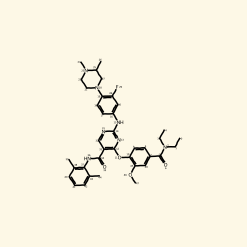 CCN(CC)C(=O)c1ccc(Oc2nc(Nc3ccc(N4CCN(C)C(C)C4)c(F)c3)ncc2C(=O)Nc2c(C)cccc2C)c(OC)c1